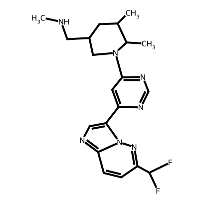 CNCC1CC(C)C(C)N(c2cc(-c3cnc4ccc(C(F)F)nn34)ncn2)C1